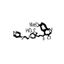 COc1ccc2ncc(Cl)c([C@H](F)CCC3(CC(=O)O)CCN(CCSc4ccncc4)CC3)c2c1